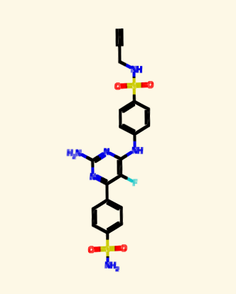 C#CCNS(=O)(=O)c1ccc(Nc2nc(N)nc(-c3ccc(S(N)(=O)=O)cc3)c2F)cc1